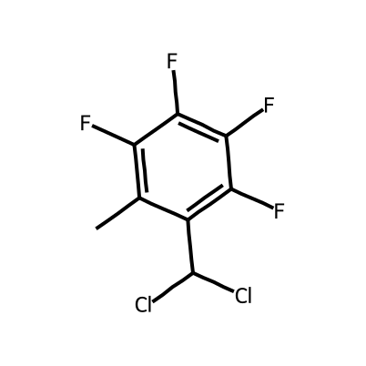 Cc1c(F)c(F)c(F)c(F)c1C(Cl)Cl